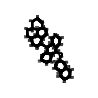 C1=Cc2ccc3c(-c4c5ccccc5c(Oc5ccc6ccccc6c5)c5ccncc45)ccc4c3c2C(=CC4)C1